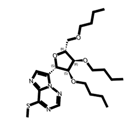 CCCCOC[C@H]1O[C@@H](c2cnc3c(SC)ncnn23)[C@H](OCCCC)[C@@H]1OCCCC